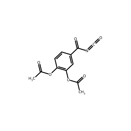 CC(=O)Oc1ccc(C(=O)N=C=O)cc1OC(C)=O